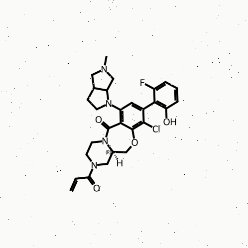 C=CC(=O)N1CCN2C(=O)c3c(N4CCC5CN(C)CC54)cc(-c4c(O)cccc4F)c(Cl)c3OC[C@H]2C1